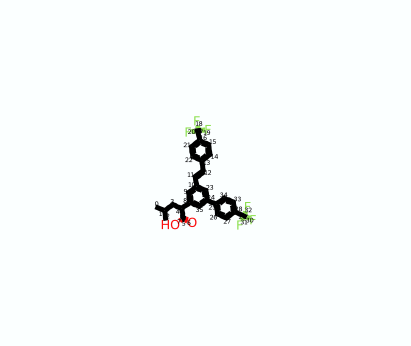 CC(C)CC(C(=O)O)c1cc(C=Cc2ccc(C(F)(F)F)cc2)cc(-c2ccc(C(F)(F)F)cc2)c1